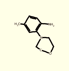 Cc1ccc(N)c(N2CCOCC2)c1